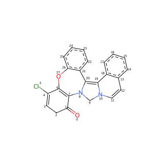 O=C1CC=C(Cl)C2=C1N1CN3C=Cc4ccccc4C3=C1c1ccccc1O2